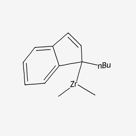 CCCC[C]1([Zr]([CH3])[CH3])C=Cc2ccccc21